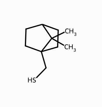 CC1(C)C2CCC1(CS)CC2